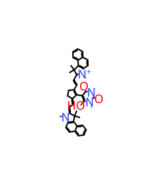 CN1/C(=C/C=C2\CCC(/C=C/C3=[N+](C)c4ccc5ccccc5c4C3(C)C)=C2c2c(O)n(C)c(=O)n(C)c2=O)C(C)(C)c2c1ccc1ccccc21